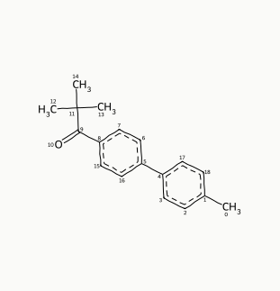 Cc1ccc(-c2ccc(C(=O)C(C)(C)C)cc2)cc1